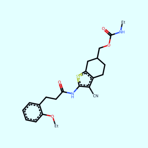 CCNC(=O)OCC1CCc2c(sc(NC(=O)CCc3ccccc3OCC)c2C#N)C1